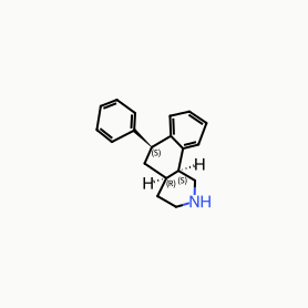 c1ccc([C@@H]2C[C@@H]3CCNC[C@@H]3c3ccccc32)cc1